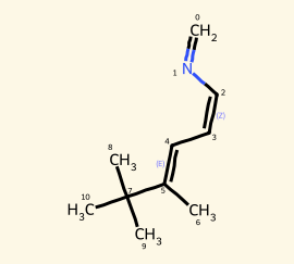 C=N/C=C\C=C(/C)C(C)(C)C